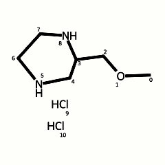 COCC1CNCCN1.Cl.Cl